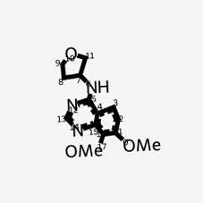 COc1ccc2c(NC3CCOC3)ncnc2c1OC